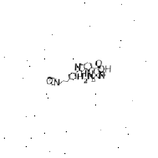 CN1CC(c2[nH]c3c(c2C(=O)O)CCc2cnc(-c4ccc(CCCN5CCOCC5)cc4)cc2-3)(C2(N)CC2)C1